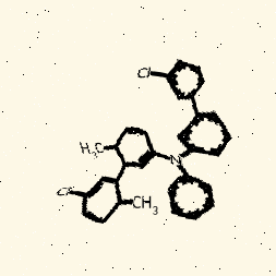 CC1C=CC(Cl)=CC1C1C=C(N(c2ccccc2)c2cccc(-c3cccc(Cl)c3)c2)C=CC1C